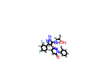 Cc1ccccc1-n1nc(-c2c(-c3ccc(F)cc3F)n[nH]c2NC[C@@H](C)O)ccc1=O